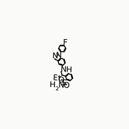 CC[C@H](CNc1ccc2c(cnn2-c2ccc(F)cc2)c1)c1ccccc1S(N)(=O)=O